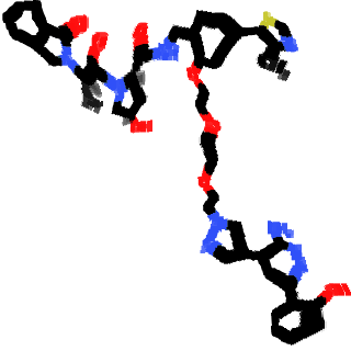 Cc1ncsc1-c1ccc(CNC(=O)[C@@H]2C[C@@H](O)CN2C(=O)[C@H](C(C)C)N2Cc3ccccc3C2=O)c(OCCOCCOCCn2cc(-c3cc(-c4ccccc4O)nnc3N)cn2)c1